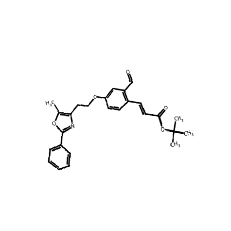 Cc1oc(-c2ccccc2)nc1CCOc1ccc(C=CC(=O)OC(C)(C)C)c(C=O)c1